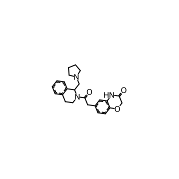 O=C1COc2ccc(CC(=O)N3CCc4ccccc4C3CN3CCCC3)cc2N1